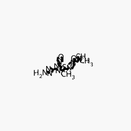 Cc1c(CN2CCN(C(=O)CN(C)C)CC2)sc2c(N3CCOCC3)nc(-c3cnc(N)nc3)nc12